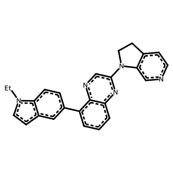 CCn1ccc2cc(-c3cccc4nc(N5CCc6ccncc65)cnc34)ccc21